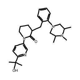 CC1CN(c2ccccc2CC2CCCN(c3ccc(C(C)(C)O)nc3)C2=O)CC(C)N1C